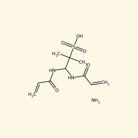 C=CC(=O)NC(NC(=O)C=C)C(C)(C)S(=O)(=O)O.N